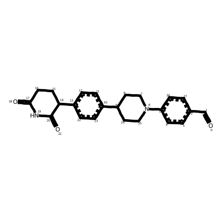 O=Cc1ccc(N2CCC(c3ccc(C4CCC(=O)NC4=O)cc3)CC2)cc1